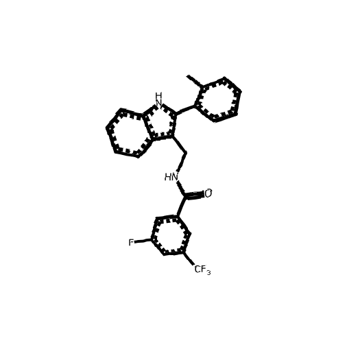 Cc1ccccc1-c1[nH]c2ccccc2c1CNC(=O)c1cc(F)cc(C(F)(F)F)c1